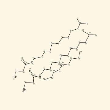 CC(C)CCCCCCCCCCOC(=O)CCS.CC(C)CCCCCCCCCCOC(=O)CCS.CCC[CH2][Sn][CH2]CCC